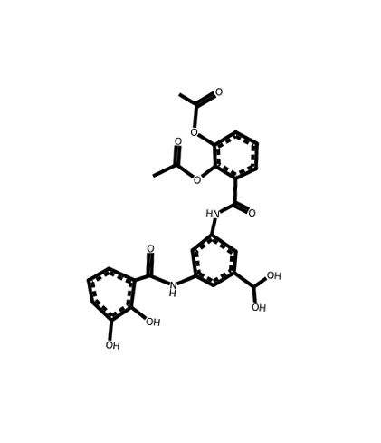 CC(=O)Oc1cccc(C(=O)Nc2cc(NC(=O)c3cccc(O)c3O)cc(C(O)O)c2)c1OC(C)=O